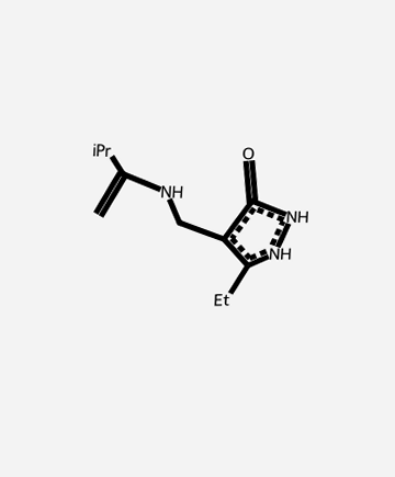 C=C(NCc1c(CC)[nH][nH]c1=O)C(C)C